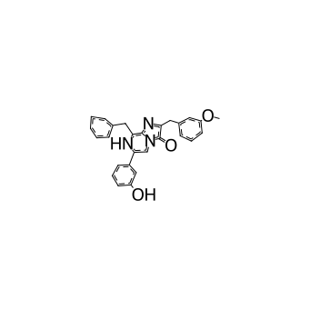 COc1cccc(Cc2nc3c(Cc4ccccc4)[nH]c(-c4cccc(O)c4)cn-3c2=O)c1